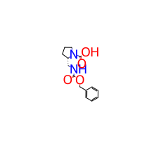 O=C(NC[C@@H]1CCCN1C(=O)O)OCc1ccccc1